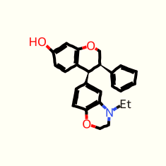 CCN1CCOc2ccc([C@H]3c4ccc(O)cc4OC[C@H]3c3ccccc3)cc21